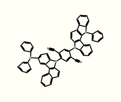 N#Cc1cc(-n2c3ccccc3c3c2ccc2c4ccccc4n(-c4ccccc4)c23)c(C#N)cc1-n1c2ccc(N(c3ccccc3)c3ccccc3)cc2c2c3ccccc3ccc21